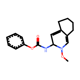 CON1C=C2CCCCC2=CC1NC(=O)Oc1ccccc1